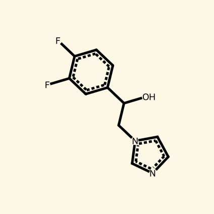 OC(Cn1ccnc1)c1ccc(F)c(F)c1